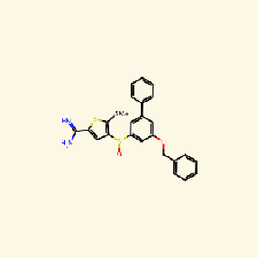 CSc1sc(C(=N)N)cc1[S+]([O-])c1cc(OCc2ccccc2)cc(-c2ccccc2)c1